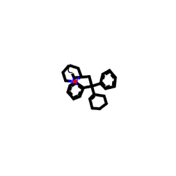 C1=C(C(CC2CC3CCN2CC3)(c2ccccc2)c2ccccc2)CCCC1